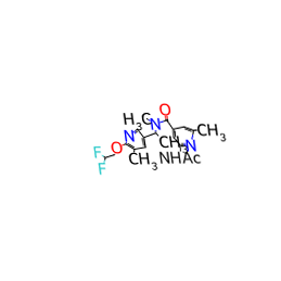 CC(=O)Nc1cc(C(=O)N(C)C(C)c2cnc(OCC(F)F)c(C)c2)cc(C)n1